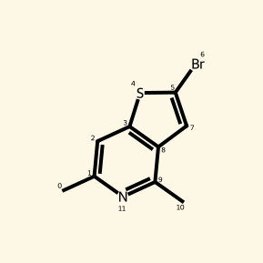 Cc1cc2sc(Br)cc2c(C)n1